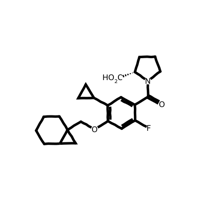 O=C(O)[C@@H]1CCCN1C(=O)c1cc(C2CC2)c(OCC23CCCCC2C3)cc1F